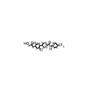 O=C(Nc1ccc(C(F)(F)F)cn1)N1CC=C(c2ncc(C[C@@H](O)CO)cc2Cl)CC1